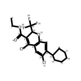 CCOC(=O)C1=C(Cl)c2cc(Cl)c(C3CCCCC3)cc2OC1C(F)(F)F